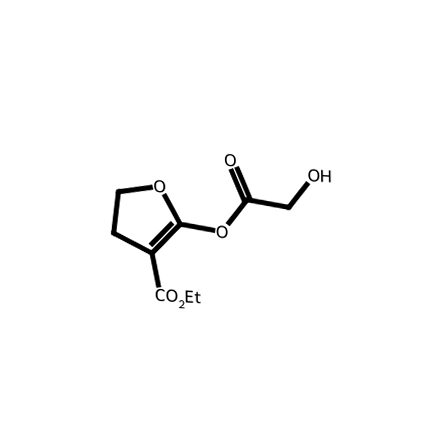 CCOC(=O)C1=C(OC(=O)CO)OCC1